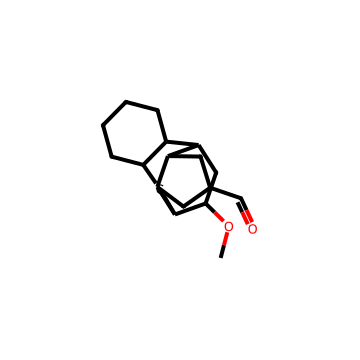 COC1CC2C3CCCCC3CC1C1CC(C=O)CC21